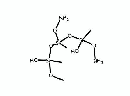 CO[Si](C)(O)O[Si](C)(ON)O[Si](C)(O)ON